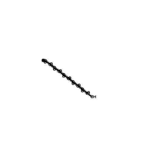 O=C(CCCCCO)OCCCCCC(=O)OCCCCCC(=O)OCCCCCC(=O)OCCCCCC(=O)OCCCCCC(=O)OCCCCCC(=O)OCCCCCC(=O)OCCCCCC(=O)OCCCCCC(=O)Oc1ccccc1